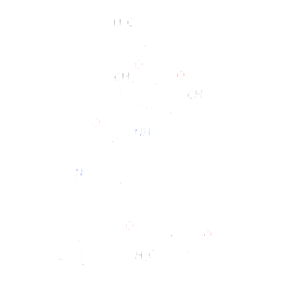 CCOC(=O)C(CC)(CC)NC(=O)c1cc(OCC2(C)COC2)c(C2CC2)cn1